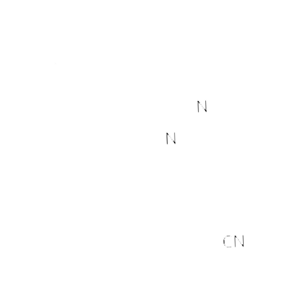 N#CCCn1ncc2c[c]ccc21